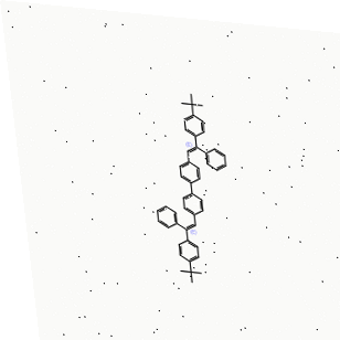 CC(C)(C)c1ccc(/C(=C/c2ccc(-c3ccc(/C=C(\c4ccccc4)c4ccc(C(C)(C)C)cc4)cc3)cc2)c2ccccc2)cc1